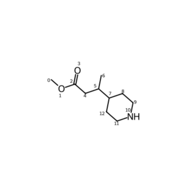 COC(=O)CC(C)C1CCNCC1